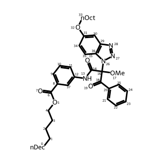 CCCCCCCCCCCCCCOC(=O)c1cccc(NC(=O)C(OC)(C(=O)c2ccccc2)n2nnc3cc(OCCCCCCCC)ccc32)c1